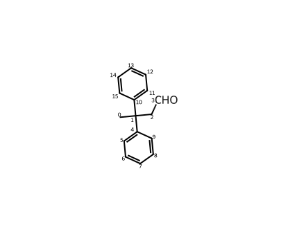 CC(CC=O)(c1ccccc1)c1ccccc1